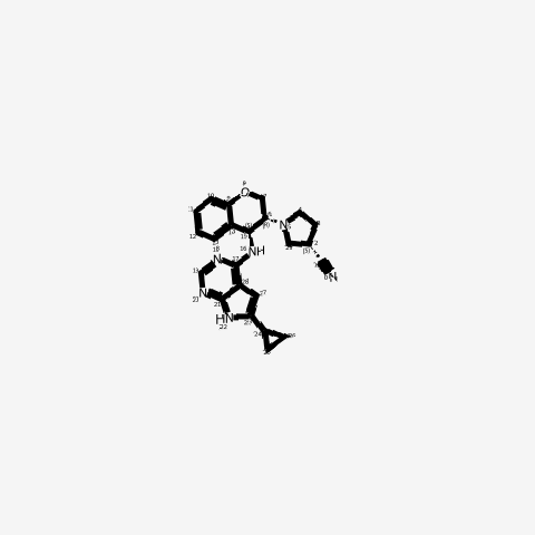 N#C[C@H]1CCN([C@H]2COc3ccccc3[C@@H]2Nc2ncnc3[nH]c(C4CC4)cc23)C1